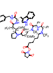 CC[C@H](C)[C@@H]([C@@H](CC(=O)N1CCC[C@H]1[C@H](OC)[C@@H](C)C(=O)N[C@@H](Cc1c[nH]c2ccccc12)C(=O)NCc1ccccc1)OC)N(C)C(=O)[C@@H](NC(=O)[C@H](C(C)C)N(C)CCCCCC(=O)ON1C(=O)CCC1=O)C(C)C